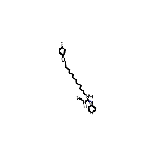 N#CN/C(=N\c1ccncc1)NCCCCCCCCCCCCOc1ccc(F)cc1